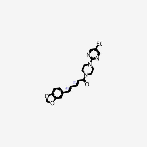 CCc1cnc(N2CCN(C(=O)/C=C/C=C/c3ccc4c(c3)OCO4)CC2)nc1